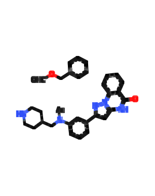 CC(=O)N(CC1CCNCC1)c1cccc(-c2cc3[nH]c(=O)c4ccccc4n3n2)c1.O=COCc1ccccc1